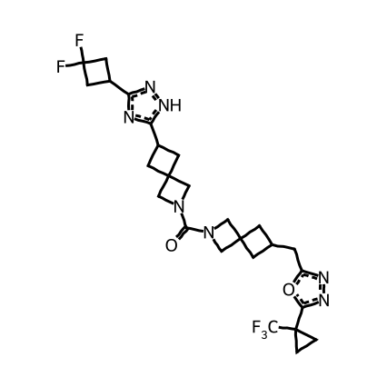 O=C(N1CC2(CC(Cc3nnc(C4(C(F)(F)F)CC4)o3)C2)C1)N1CC2(CC(c3nc(C4CC(F)(F)C4)n[nH]3)C2)C1